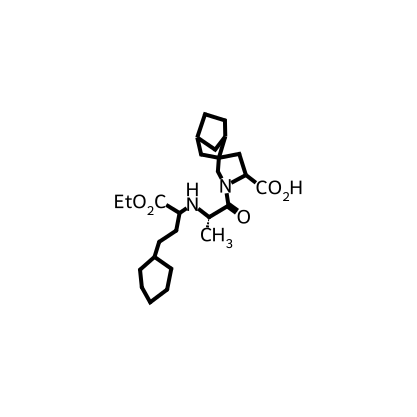 CCOC(=O)C(CCC1CCCCC1)N[C@@H](C)C(=O)N1CC2(CC3CCC2C3)CC1C(=O)O